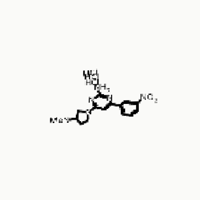 CNC1CCN(c2cc(-c3cccc([N+](=O)[O-])c3)nc(N)n2)C1.Cl.Cl.Cl